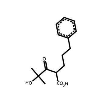 CC(C)(O)C(=O)C(CCCc1ccccc1)C(=O)O